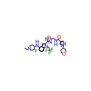 CCN1CC[C@@H](Nc2cccc3c2cc(-c2noc(CNC(=O)c4cnn(C5CCOCC5)c4)n2)n3CC(F)(F)F)[C@@H](F)C1